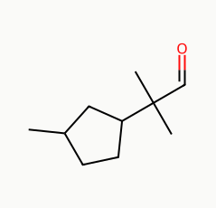 CC1CCC(C(C)(C)C=O)C1